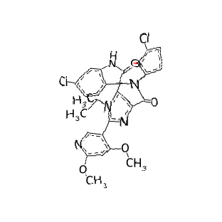 COc1cc(OC)c(-c2nc3c(n2C(C)C)C2(C(=O)Nc4cc(Cl)ccc42)N(c2cccc(Cl)c2)C3=O)cn1